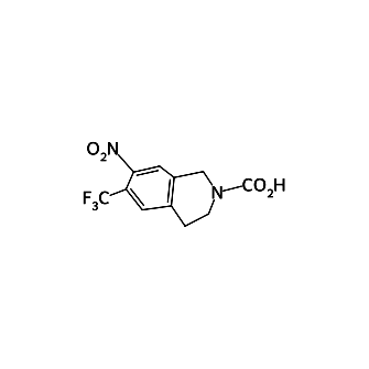 O=C(O)N1CCc2cc(C(F)(F)F)c([N+](=O)[O-])cc2C1